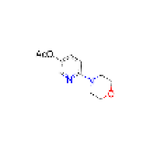 CC(=O)Oc1ccc(N2CCOCC2)nc1